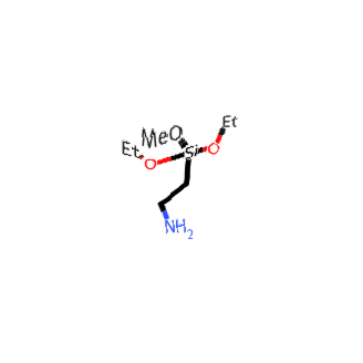 CCO[Si](CCN)(OC)OCC